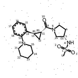 CS(=O)(=O)N[C@H]1CCN(C(=O)[C@@H]2C[C@H]2c2ccccc2N2CCCCC2)C1